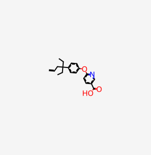 C=CCC(CC)(CC)c1ccc(Oc2ccc(C(=O)O)cn2)cc1